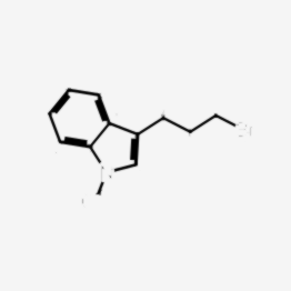 Cln1cc(CCCBr)c2ccccc21